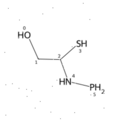 OCC(S)NP